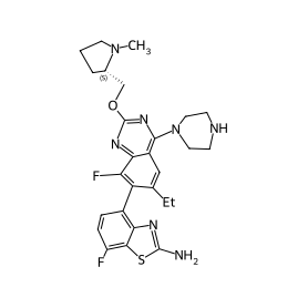 CCc1cc2c(N3CCNCC3)nc(OC[C@@H]3CCCN3C)nc2c(F)c1-c1ccc(F)c2sc(N)nc12